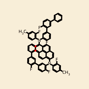 Cc1ccc(N(c2cc(-c3cc(-c4ccccc4)ccc3F)ccc2F)c2ccc3ccc4c(N(c5ccc(C)cc5F)c5cc(-c6cc(-c7ccccc7)ccc6F)ccc5F)ccc5ccc2c3c54)c(F)c1